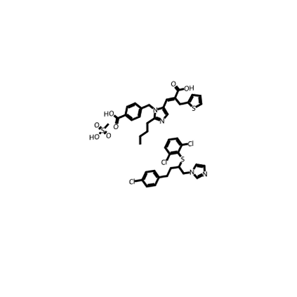 CCCCc1ncc(/C=C(\Cc2cccs2)C(=O)O)n1Cc1ccc(C(=O)O)cc1.CS(=O)(=O)O.Clc1ccc(CCC(Cn2ccnc2)Sc2c(Cl)cccc2Cl)cc1